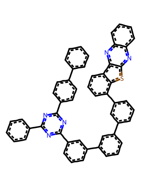 c1ccc(-c2ccc(-c3nc(-c4ccccc4)nc(-c4cccc(-c5cccc(-c6cccc(-c7cccc8c7sc7nc9ccccc9nc78)c6)c5)c4)n3)cc2)cc1